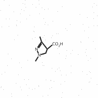 CC1=NN(C)CC1C(=O)O